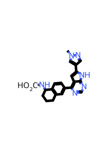 Cn1cc(-c2cc3c(-c4ccc5c(c4)CCCC5NC(=O)O)ncnc3[nH]2)cn1